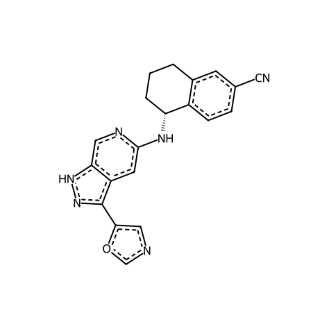 N#Cc1ccc2c(c1)CCC[C@H]2Nc1cc2c(-c3cnco3)n[nH]c2cn1